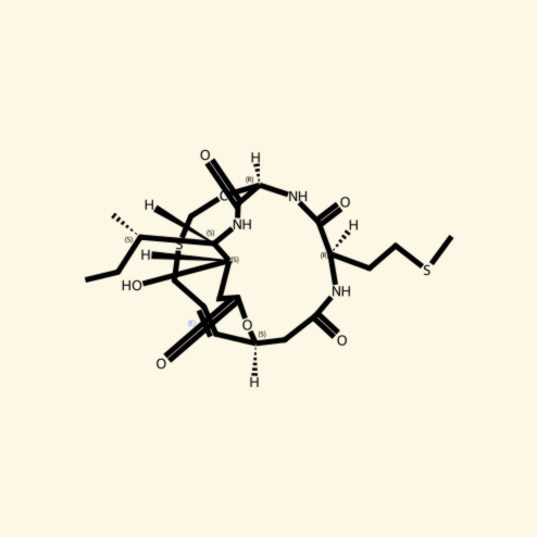 CC[C@H](C)[C@@H]1NC(=O)[C@H]2CCSC/C=C/[C@H](CC(=O)N[C@H](CCSC)C(=O)N2)OC(=O)C[C@@H]1O